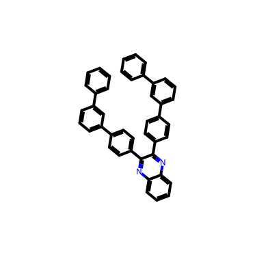 c1ccc(-c2cccc(-c3ccc(-c4nc5ccccc5nc4-c4ccc(-c5cccc(-c6ccccc6)c5)cc4)cc3)c2)cc1